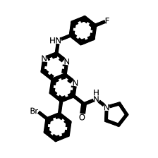 O=C(NN1CCCC1)c1nc2nc(Nc3ccc(F)cc3)ncc2cc1-c1ccccc1Br